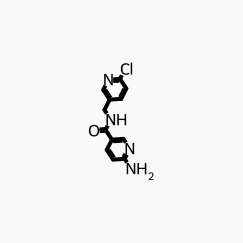 Nc1ccc(C(=O)NCc2ccc(Cl)nc2)cn1